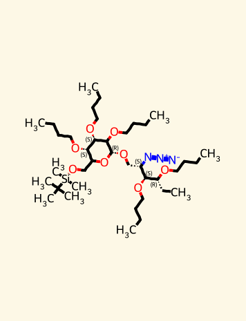 CCCCOC1[C@H](OC[C@H](N=[N+]=[N-])[C@H](OCCCC)[C@@H](CC)OCCCC)OC(CO[Si](C)(C)C(C)(C)C)[C@H](OCCCC)[C@@H]1OCCCC